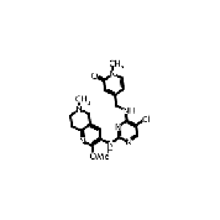 COc1nc2c(cc1Nc1ncc(Cl)c(NCc3ccn(C)c(=O)c3)n1)CN(C)CC2